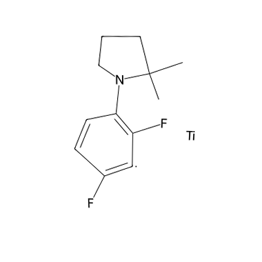 CC1(C)CCCN1c1ccc(F)[c]c1F.[Ti]